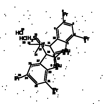 CCCCC1=Cc2c(C(C)C)cc(C(C)C)cc2[CH]1[Hf]([CH3])([CH3])(=[SiH2])[CH]1C(CCCC)=Cc2c(C(C)C)cc(C(C)C)cc21.Cl.Cl